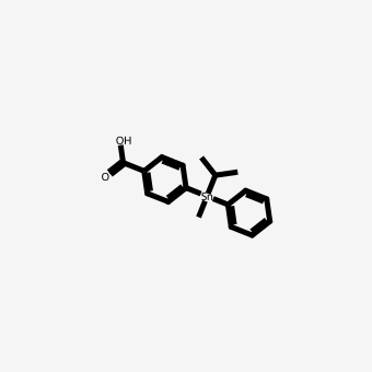 C[CH](C)[Sn]([CH3])([c]1ccccc1)[c]1ccc(C(=O)O)cc1